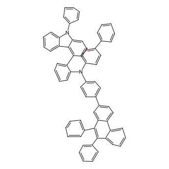 c1ccc(-c2ccc(N(c3ccc(-c4ccc5c(c4)c(-c4ccccc4)c(-c4ccccc4)c4ccccc45)cc3)c3ccccc3-c3cccc4c3c3ccccc3n4-c3ccccc3)cc2)cc1